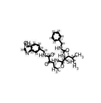 CCC(NC(=O)[C@@]([SiH3])(CC(C)C)NC(=O)NCc1ccccc1)C(=O)C(=O)NCc1ccc2c(c1)ncn2C